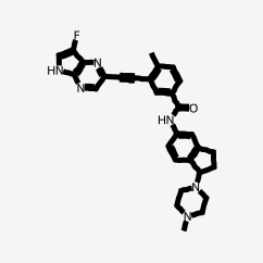 Cc1ccc(C(=O)Nc2ccc3c(c2)CCC3N2CCN(C)CC2)cc1C#Cc1cnc2[nH]cc(F)c2n1